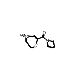 O=C([C]1CNCCO1)N1CCC1